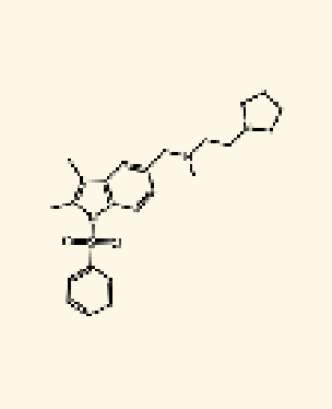 Cc1c(C)n(S(=O)(=O)c2ccccc2)c2ccc(CN(I)CCN3CCCC3)cc12